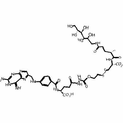 C[C@@H](CCC(=O)NC[C@H](O)[C@@H](O)[C@H](O)[C@H](O)CO)C(=O)N[C@@H](CSSCCOC(=O)NNC(=O)CC[C@H](NC(=O)c1ccc(NCc2cnc3nc(N)[nH]c(=N)c3n2)cc1)C(=O)O)C(=O)O